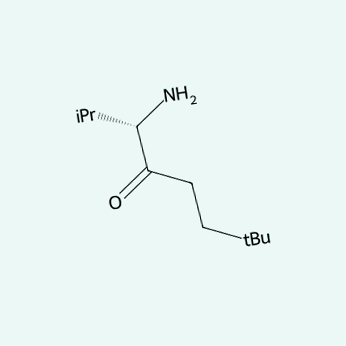 CC(C)[C@H](N)C(=O)CCC(C)(C)C